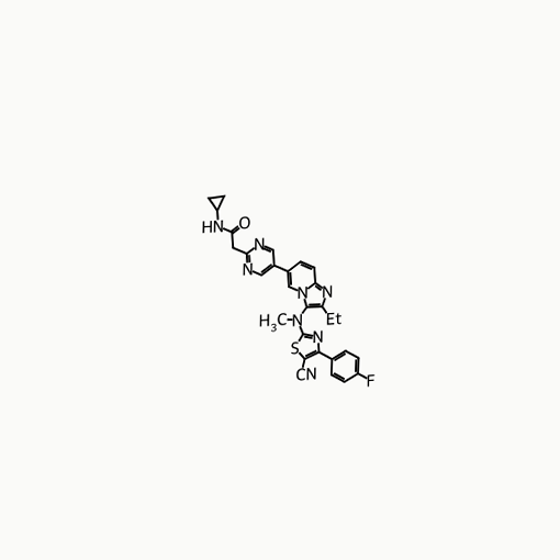 CCc1nc2ccc(-c3cnc(CC(=O)NC4CC4)nc3)cn2c1N(C)c1nc(-c2ccc(F)cc2)c(C#N)s1